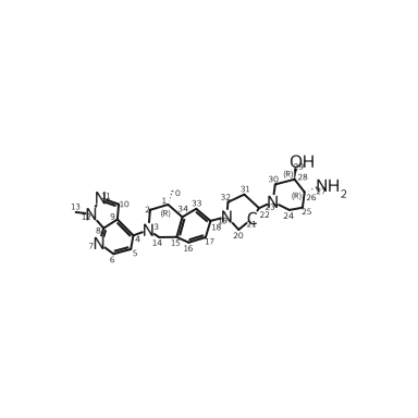 C[C@H]1CN(c2ccnc3c2cnn3C)Cc2ccc(N3CCC(N4CC[C@@H](N)[C@H](O)C4)CC3)cc21